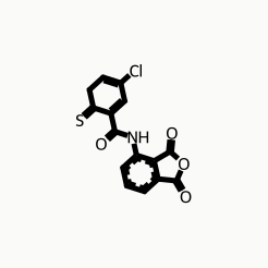 O=C(Nc1cccc2c1C(=O)OC2=O)C1=CC(Cl)=CCC1=S